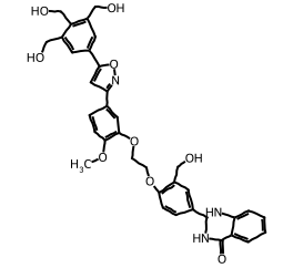 COc1ccc(-c2cc(-c3cc(CO)c(CO)c(CO)c3)on2)cc1OCCOc1ccc(C2NC(=O)c3ccccc3N2)cc1CO